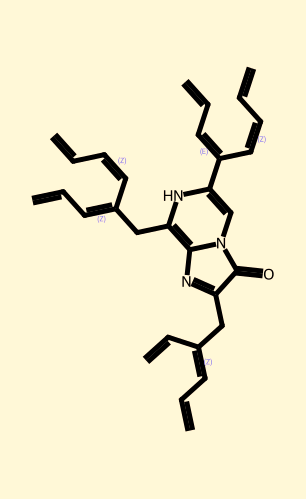 C=C/C=C\C(=C/C=C)Cc1[nH]c(C(/C=C\C=C)=C/C=C)cn2c(=O)c(C/C(C=C)=C/C=C)nc1-2